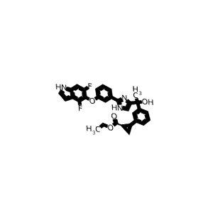 CCOC(=O)[C@@H]1CC1c1cccc(C(C)(O)c2c[nH]c(-c3cccc(Oc4c(F)cc5[nH]ccc5c4F)c3)n2)c1